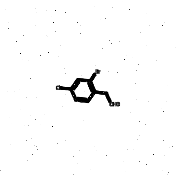 O=CCc1ccc(Cl)cc1Br